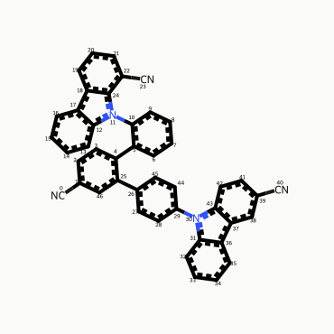 N#Cc1ccc(-c2ccccc2-n2c3ccccc3c3cccc(C#N)c32)c(-c2ccc(-n3c4ccccc4c4cc(C#N)ccc43)cc2)c1